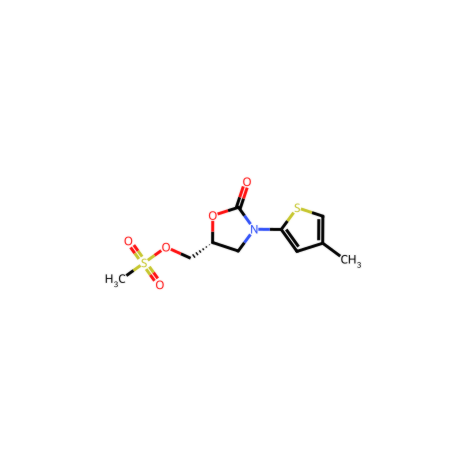 Cc1csc(N2C[C@H](COS(C)(=O)=O)OC2=O)c1